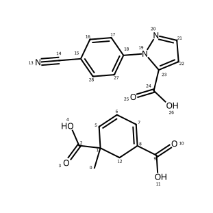 CC1(C(=O)O)C=CC=C(C(=O)O)C1.N#Cc1ccc(-n2nccc2C(=O)O)cc1